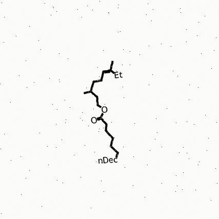 CCCCCCCCCCCCCCCC(=O)OCCC(C)CC/C=C(/C)CC